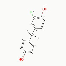 CC(C)(c1ccc(O)cc1)c1ccc(O)c(F)c1